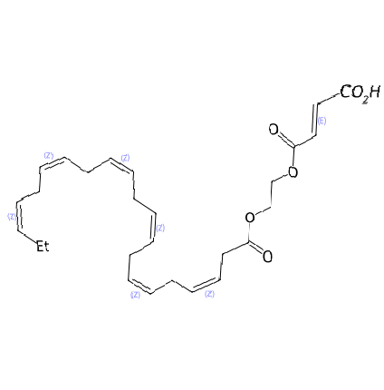 CC/C=C\C/C=C\C/C=C\C/C=C\C/C=C\C/C=C\CC(=O)OCCOC(=O)/C=C/C(=O)O